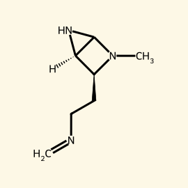 C=NCC[C@H]1[C@H]2NC2N1C